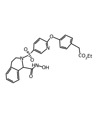 CCOC(=O)Cc1ccc(Oc2ccc(S(=O)(=O)N3CCc4ccccc4C3C(=O)NO)cn2)cc1